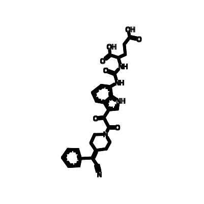 N#CC(=C1CCN(C(=O)C(=O)c2c[nH]c3c(NC(=O)NC(CCC(=O)O)C(=O)O)cccc23)CC1)c1ccccc1